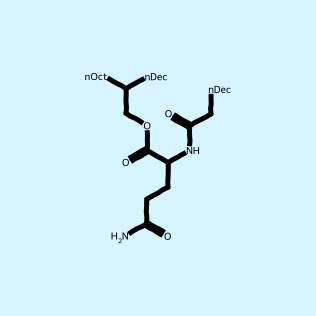 CCCCCCCCCCCC(=O)NC(CCC(N)=O)C(=O)OCC(CCCCCCCC)CCCCCCCCCC